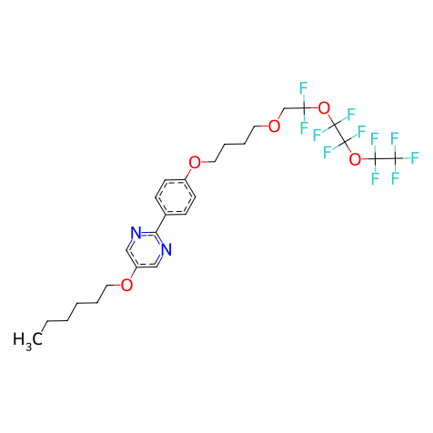 CCCCCCOc1cnc(-c2ccc(OCCCCOCC(F)(F)OC(F)(F)C(F)(F)OC(F)(F)C(F)(F)F)cc2)nc1